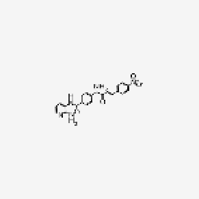 Nc1ncccc1NC(=O)c1ccc(C(N)C(=O)/C=C/c2ccc([N+](=O)[O-])cc2)cc1